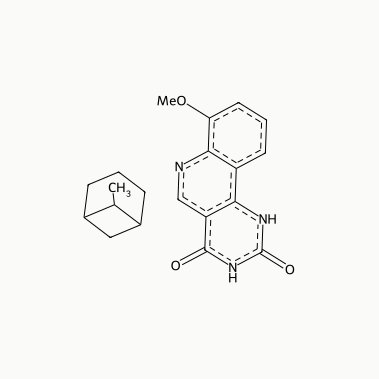 CC1C2CCCC1C2.COc1cccc2c1ncc1c(=O)[nH]c(=O)[nH]c12